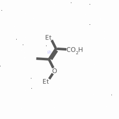 CCO/C(C)=C(/CC)C(=O)O